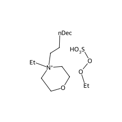 CCCCCCCCCCCC[N+]1(CC)CCOCC1.CCOOS(=O)(=O)O